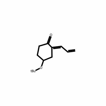 C=C/C=C1\CC(OC(C)(C)C)CCC1=O